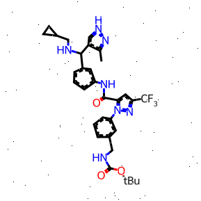 Cc1n[nH]cc1C(NCC1CC1)c1cccc(NC(=O)c2cc(C(F)(F)F)nn2-c2cccc(CNC(=O)OC(C)(C)C)c2)c1